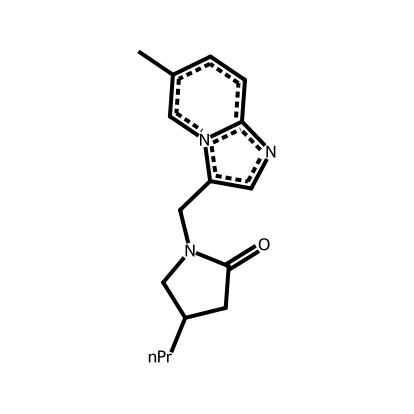 CCCC1CC(=O)N(Cc2cnc3ccc(C)cn23)C1